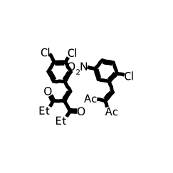 CC(=O)C(=Cc1cc([N+](=O)[O-])ccc1Cl)C(C)=O.CCC(=O)C(=Cc1ccc(Cl)c(Cl)c1)C(=O)CC